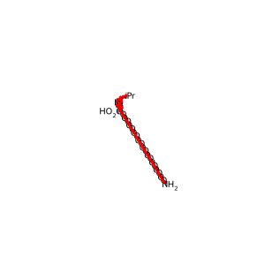 CC(C)CCC[C@@H](C)[C@H]1CC[C@H]2[C@@H]3CC=C4C[C@@H](N(CCOCCOCCOCCOCCOCCOCCOCCOCCOCCOCCOCCOCCOCCOCCOCCOCCOCCOCCOCCN)C(=O)O)CC[C@]4(C)[C@H]3CC[C@]12C